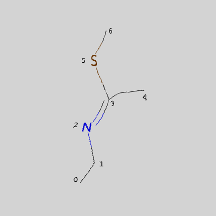 CC/N=C(\C)SC